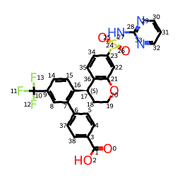 O=C(O)c1ccc(-c2cc(C(F)(F)F)ccc2[C@@H]2CCOc3cc(S(=O)(=O)Nc4ncccn4)ccc32)cc1